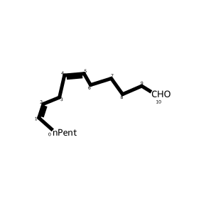 CCCCC/C=C\C/C=C\CCCCC=O